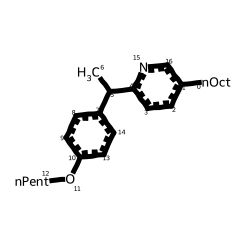 CCCCCCCCc1ccc(C(C)c2ccc(OCCCCC)cc2)nc1